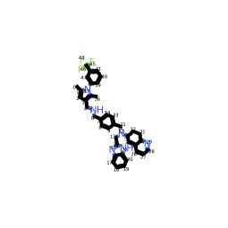 Cc1cc(CNCc2ccc(CN(Cc3nc4ccccc4[nH]3)C3C=C4C=CC=NC4CC3)cc2)c(C)n1-c1cccc(C(F)(F)F)c1